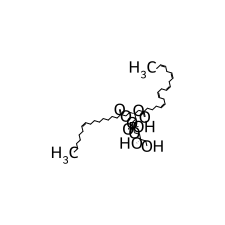 CC/C=C\C/C=C\C/C=C\C/C=C\C/C=C\CCCC(=O)O[C@H](COC(=O)CCCCCCC/C=C\CCCCCC)COP(=O)(O)OC[C@@H](O)CO